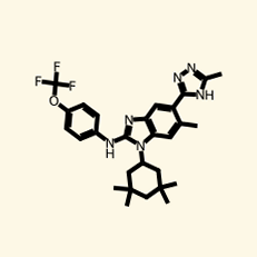 Cc1nnc(-c2cc3nc(Nc4ccc(OC(F)(F)F)cc4)n(C4CC(C)(C)CC(C)(C)C4)c3cc2C)[nH]1